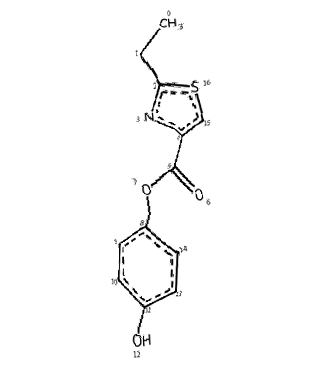 CCc1nc(C(=O)Oc2ccc(O)cc2)cs1